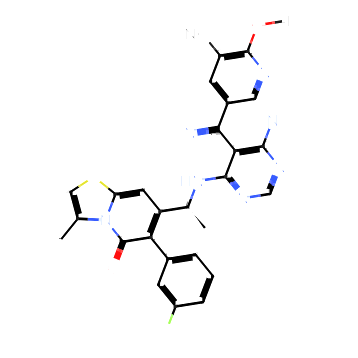 Cc1csc2cc([C@H](C)Nc3ncnc(N)c3C(=N)c3cnc(OC(C)C)c(C#N)c3)c(-c3cccc(F)c3)c(=O)n12